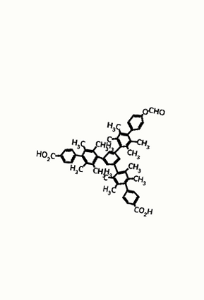 Cc1c(C)c(-c2cc(-c3c(C)c(C)c(-c4ccc(C(=O)O)cc4)c(C)c3C)cc(-c3c(C)c(C)c(-c4ccc(C(=O)O)cc4)c(C)c3C)c2)c(C)c(C)c1-c1ccc(OC=O)cc1